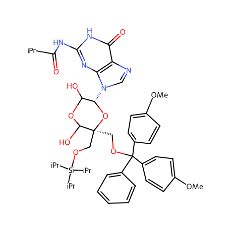 COc1ccc(C(OC[C@@]2(CO[Si](C(C)C)(C(C)C)C(C)C)O[C@@H](n3cnc4c(=O)[nH]c(NC(=O)C(C)C)nc43)C(O)OC2O)(c2ccccc2)c2ccc(OC)cc2)cc1